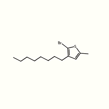 CCCCCCCCc1cc(C)sc1Br